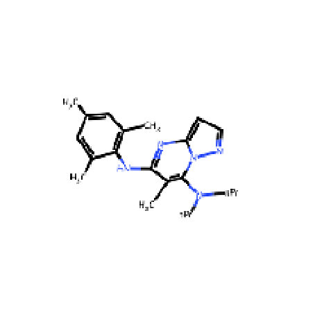 CCCN(CCC)c1c(C)c(Nc2c(C)cc(C)cc2C)nc2ccnn12